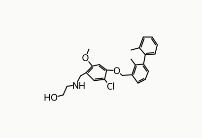 COc1cc(OCc2cccc(-c3ccccc3C)c2C)c(Cl)cc1CNCCO